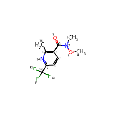 CON(C)C(=O)c1ccc(C(F)(F)F)nc1C